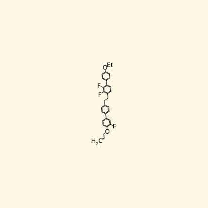 C=CCOc1ccc(-c2ccc(CCc3ccc(-c4ccc(OCC)cc4)c(F)c3F)cc2)cc1F